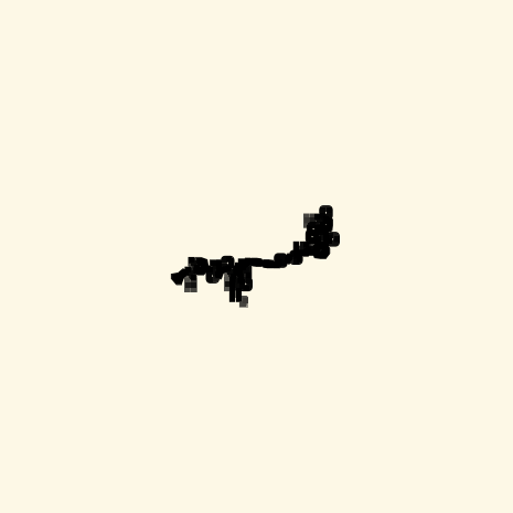 NC(=O)c1nn(CC#CC#CCOCCOCCNc2cccc3c2C(=O)N(C2CCC(=O)NC2=O)C3=O)cc1NC(=O)c1coc(-c2ccnc(NCC3CC3)c2)n1